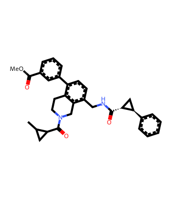 COC(=O)c1cccc(-c2ccc(CNC(=O)[C@@H]3C[C@H]3c3ccccc3)c3c2CCN(C(=O)C2CC2C)C3)c1